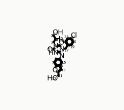 O=c1[nH]/c(=N\c2ccc3oc(CO)cc3c2)n(Cc2ccc(Cl)cc2)c(=O)n1C[C@H](I)CO